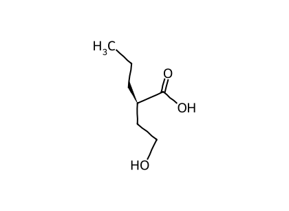 CCC[C@H](CCO)C(=O)O